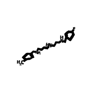 Cc1ccc(CNCCCCNCCCNCc2ccc(F)cc2)cc1